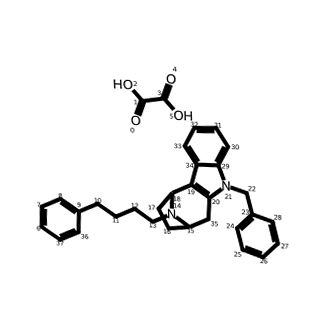 O=C(O)C(=O)O.c1ccc(CCCCN2C3CCC2c2c(n(Cc4ccccc4)c4ccccc24)C3)cc1